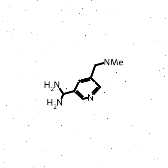 CNCc1cncc(C(N)N)c1